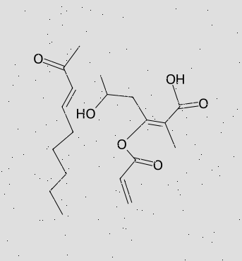 C=CC(=O)OC(CC(C)O)=C(C)C(=O)O.CCCCCC=CC(C)=O